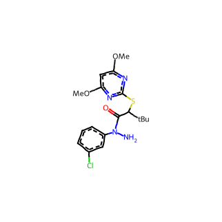 COc1cc(OC)nc(SC(C(=O)N(N)c2cccc(Cl)c2)C(C)(C)C)n1